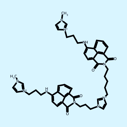 Cn1cc[n+](CCCNc2ccc3c4c(cccc24)C(=O)N(CCCCC[n+]2ccn(CCCN4C(=O)c5cccc6c(NCCC[n+]7ccn(C)c7)ccc(c56)C4=O)c2)C3=O)c1